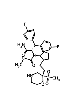 COC(=O)N(C1CCCC1CC[C@]1(S(C)(=O)=O)CNCCN1)[C@H](C(N)=O)C(c1ccc(F)cc1)c1ccc(F)cc1